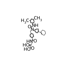 Cc1cc(C)cc(NC(=O)N(Cc2ccc(C(=O)NC[C@@H](O)C(=O)O)cc2)c2ccc(C3=CCCCC3)cc2)c1